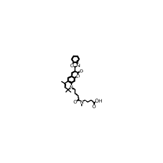 CC1=CC(C)(C)N(CCCC(=O)N(C)CCCC(=O)O)c2cc3oc(=O)c(-c4nc5ccccc5o4)cc3cc21